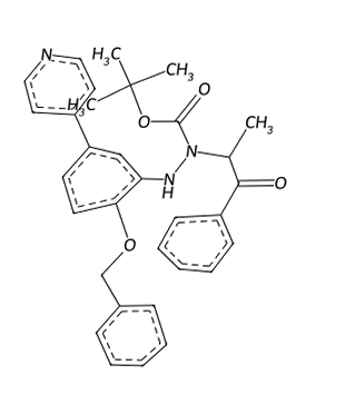 CC(C(=O)c1ccccc1)N(Nc1cc(-c2ccncc2)ccc1OCc1ccccc1)C(=O)OC(C)(C)C